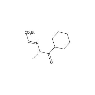 [CH2][C@H](N=CC(=O)OCC)C(=O)C1CCCCC1